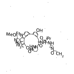 C=CC(=O)N1CC(NC[C@H](C(=O)N[C@H]2Cc3cc(O)cc(c3)-c3ccc4c(c3)c(c(-c3cccnc3COC)n4CC)CC(C)(C)COC(=O)[C@@H]3CCCN(N3)C2=O)C(C)C)C1